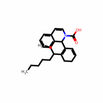 CCCCCC(CC)C1=C(C2c3ccccc3C=CN2C(=O)O)C=CCC1